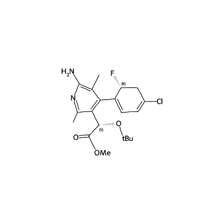 COC(=O)[C@@H](OC(C)(C)C)c1c(C)nc(N)c(C)c1C1=CC=C(Cl)C[C@H]1F